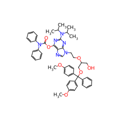 COc1ccc(C(OCC(CO)OCCn2cnc3c(OC(=O)N(c4ccccc4)c4ccccc4)nc(N(C(C)C)C(C)C)nc32)(c2ccccc2)c2ccc(OC)cc2)cc1